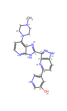 CN1CCN(c2ccnc3[nH]c(-c4n[nH]c5ccc(-c6cncc(O)c6)nc45)nc23)CC1